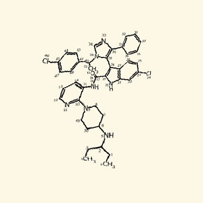 CCC(CC)NC1CCN(c2ncccc2NC(=O)c2[nH]c3cc(Cl)ccc3c2-c2c(-c3ccccc3)ncn2[C@@H](C)c2ccc(Cl)cc2)CC1